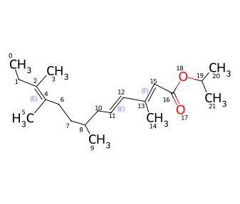 CC/C(C)=C(\C)CCC(C)C/C=C/C(C)=C/C(=O)OC(C)C